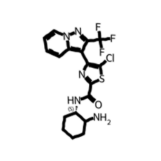 NC1CCCC[C@@H]1NC(=O)c1nc(-c2c(C(F)(F)F)nn3ccccc23)c(Cl)s1